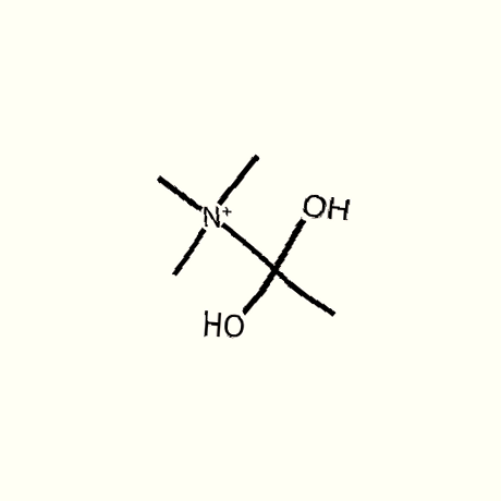 CC(O)(O)[N+](C)(C)C